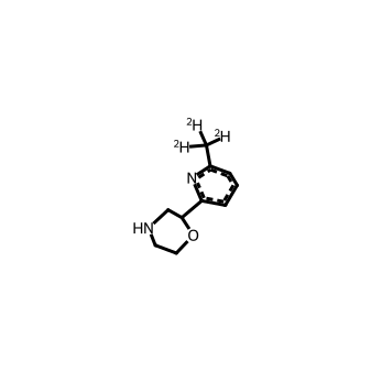 [2H]C([2H])([2H])c1cccc(C2CNCCO2)n1